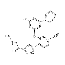 CNC[C@H](O)c1cnn(-c2ccc(C#N)cc2Oc2cc(-c3ccccc3)nc(C)n2)c1